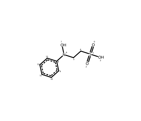 O=S(=O)(O)CCN(O)c1ccccc1